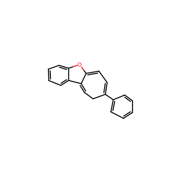 C1=C(c2ccccc2)CC=c2c(oc3ccccc23)=C1